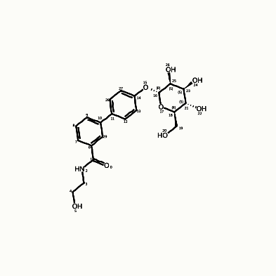 O=C(NCCO)c1cccc(-c2ccc(O[C@H]3O[C@H](CO)[C@@H](O)[C@H](O)[C@@H]3O)cc2)c1